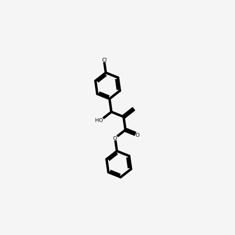 C=C(C(=O)Oc1ccccc1)C(O)c1ccc(Cl)cc1